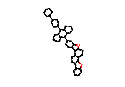 c1ccc(-c2ccc(-c3c4ccccc4c(-c4ccc5c(c4)oc4ccc6c(ccc7c8ccccc8oc76)c45)c4ccccc34)cc2)cc1